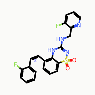 O=S1(=O)N=C(NCc2ncccc2F)Nc2c(/C=C\c3ccccc3F)cccc21